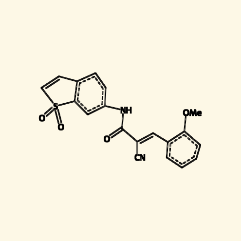 COc1ccccc1C=C(C#N)C(=O)Nc1ccc2c(c1)S(=O)(=O)C=C2